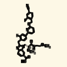 COCCNC(=O)[C@@H](Cn1c(Cc2ccc(-c3cccc(OCc4ccc(C#N)cc4F)n3)cc2F)nc2ccc(C(=O)O)cc21)OC